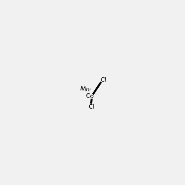 [Cl][Co][Cl].[Mn]